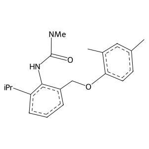 CNC(=O)Nc1c(COc2ccc(C)cc2C)cccc1C(C)C